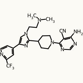 CN(C)CCn1cc(-c2ccnc(C(F)(F)F)c2)nc1C1CCN(c2ncnc(N)c2C#N)CC1